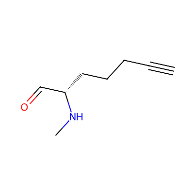 C#CCCC[C@@H](C=O)NC